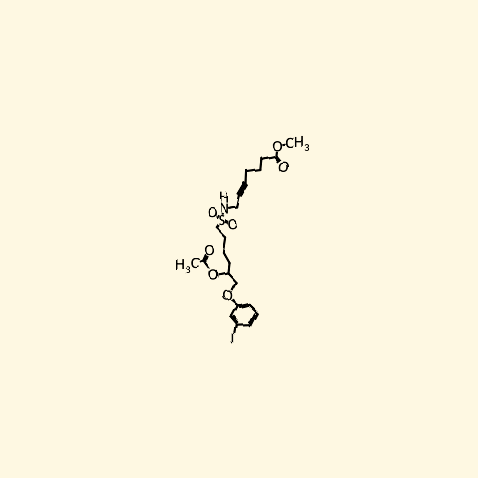 COC(=O)CCCC#CCNS(=O)(=O)CCCCC(COc1cccc(I)c1)OC(C)=O